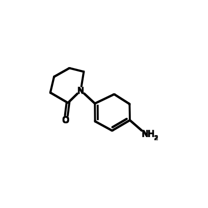 NC1=CC=C(N2CCCCC2=O)CC1